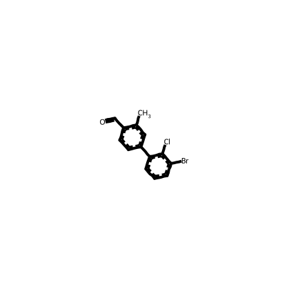 Cc1cc(-c2cccc(Br)c2Cl)ccc1C=O